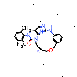 Cc1cccc(C)c1N1Cc2cnc3nc2N(C/C=C\COCc2cccc(c2)N3)C1=O